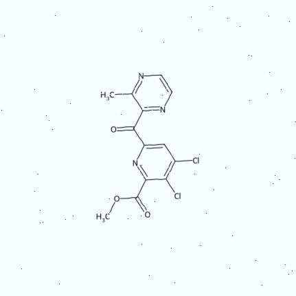 COC(=O)c1nc(C(=O)c2nccnc2C)cc(Cl)c1Cl